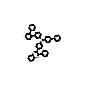 c1ccc(-c2ccc(N(c3ccc(-c4nc5ccccc5nc4-c4ccccc4)cc3)c3cccc(-c4ccccc4-c4ccccc4)c3)cc2)cc1